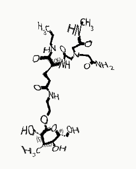 CCCNC(=O)[C@H](CCC(=O)NCCO[C@H]1O[C@H](CO)[C@@H](O)[C@H](C)[C@@H]1O)NC(=O)CN(CC(N)=O)CC(=O)NC